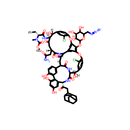 CC(C)C[C@H](C(=O)N[C@H]1C(=O)C[C@@H](CC(N)=O)C(=O)N[C@H]2C(=O)C[C@H]3C(=O)N[C@H](C(=O)N[C@H](C(=O)CC4C5CC6CC(C5)CC4C6)c4cc(O)cc(O)c4-c4cc3ccc4O)[C@H](O)c3ccc(c(Cl)c3)Oc3cc2cc(c3OC2OC(CN=[N+]=[N-])C(O)C(O)C2O)Oc2ccc(cc2Cl)[C@H]1O)N(C)C(=O)OC(C)(C)C